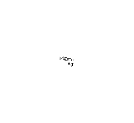 [Ag].[Cu].[Pb].[Zn]